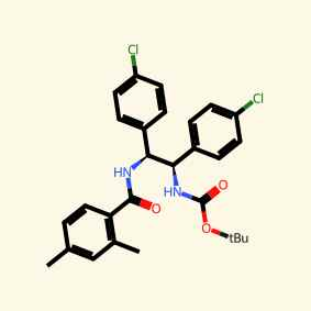 Cc1ccc(C(=O)N[C@@H](c2ccc(Cl)cc2)[C@H](NC(=O)OC(C)(C)C)c2ccc(Cl)cc2)c(C)c1